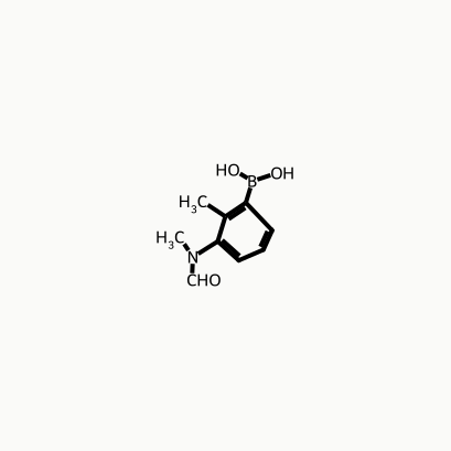 Cc1c(B(O)O)cccc1N(C)C=O